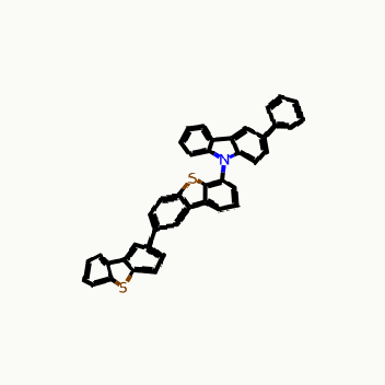 c1ccc(-c2ccc3c(c2)c2ccccc2n3-c2cccc3c2sc2ccc(-c4ccc5sc6ccccc6c5c4)cc23)cc1